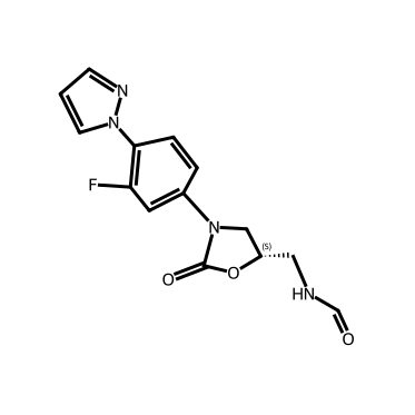 O=CNC[C@H]1CN(c2ccc(-n3cccn3)c(F)c2)C(=O)O1